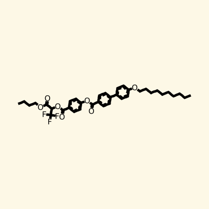 CCCCCCCCCCOc1ccc(-c2ccc(C(=O)Oc3ccc(C(=O)OC(C(=O)OCCCC)C(F)(F)F)cc3)cc2)cc1